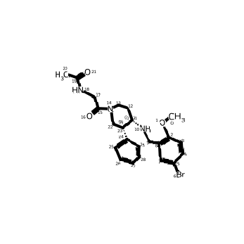 COc1ccc(Br)cc1CN[C@H]1CCN(C(=O)CNC(C)=O)C[C@H]1c1ccccc1